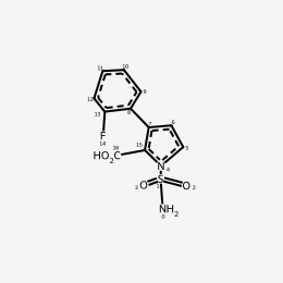 NS(=O)(=O)n1ccc(-c2ccccc2F)c1C(=O)O